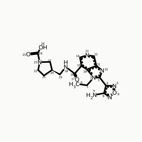 CCn1c(-c2nonc2N)nc2cncc(C(=O)NC[C@H]3CCN(C(=O)O)C3)c21